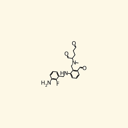 CN(Cc1c(C=O)cccc1NCc1cccc(N)c1F)C(C=O)CCC=O